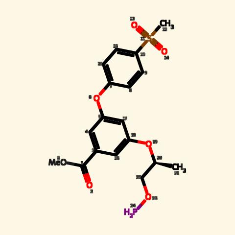 COC(=O)c1cc(Oc2ccc(S(C)(=O)=O)cc2)cc(O[C@@H](C)COP)c1